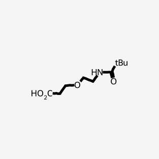 CC(C)(C)C(=O)NCCOCCC(=O)O